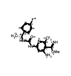 COC(=N)c1c(N)cc(NC(=O)N[C@H](C)c2ccc(F)cc2)nc1C(F)(F)F